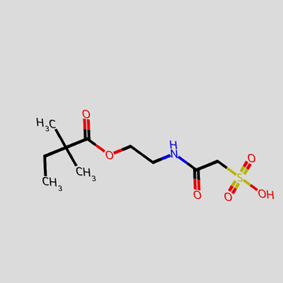 CCC(C)(C)C(=O)OCCNC(=O)CS(=O)(=O)O